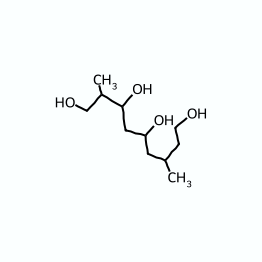 CC(CCO)CC(O)CC(O)C(C)CO